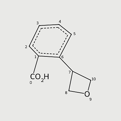 O=C(O)c1ccccc1C1COC1